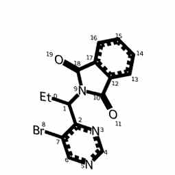 CCC(c1ncncc1Br)N1C(=O)c2ccccc2C1=O